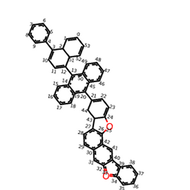 C1=CC2C(c3ccccc3)=CC=C(c3c4ccccc4c(C4=CC=C5Oc6c(ccc7cc8oc9ccccc9c8cc67)C5C4)c4ccccc34)C2C=C1